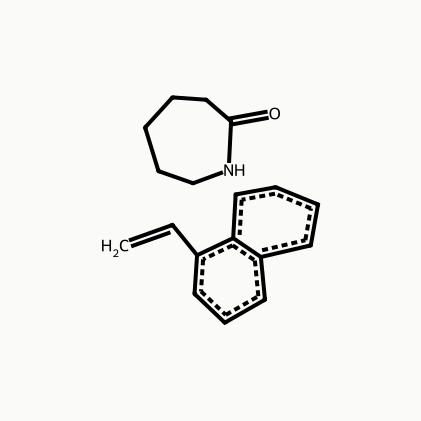 C=Cc1cccc2ccccc12.O=C1CCCCCN1